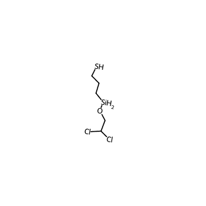 SCCC[SiH2]OCC(Cl)Cl